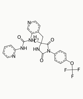 CC1(Cc2ccncc2NC(=O)Nc2ccccn2)NC(=O)N(c2ccc(OC(F)(F)F)cc2)C1=O